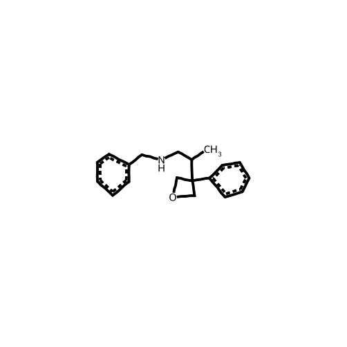 CC(CNCc1ccccc1)C1(c2ccccc2)COC1